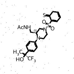 CC(=O)NC[C@H]1CN(S(=O)(=O)C2=CC=CCC2=S)CCN1c1ccc([C@](C)(O)C(F)(F)F)cc1